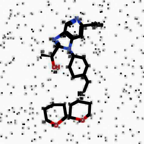 C1CCOCC1.C1CCOCC1.CNc1cc2c(cn1)nc([C@@H](C)O)n2C1CCC(CC#N)CC1